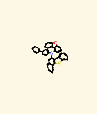 c1ccc(-c2ccc(N(c3cccc4oc5ccccc5c34)c3cc4ccccc4c4sc5ccccc5c34)cc2)cc1